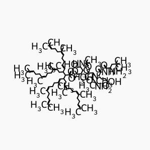 CC(=O)N[C@@H]1[C@@H](OC(C)CN(C(=O)C(C)(C)N)[C@H](CCC(=O)O)C(=O)NC(=O)[C@@H](N)CC(C)C)[C@H](O)[C@@H](COC(=O)C(C(C=C(C)CCC=C(C)CCC=C(C)C)CC=C(C)CCC=C(C)CCC=C(C)C)C(C=C(C)CCC=C(C)CCC=C(C)C)CC=C(C)CCC=C(C)CCC=C(C)C)O[C@@H]1O